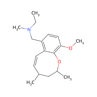 CCN(C)Cc1ccc(OC)c2c1/C=C\C(C)CC(C)O2